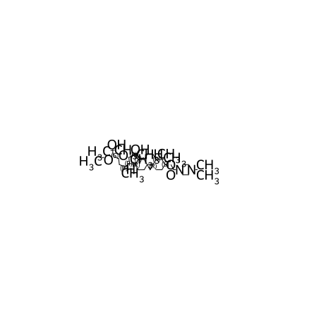 CCO[C@@H](C1C[C@@H](C)[C@H]2C(O1)[C@H](O)[C@@]1(C)C3CC[C@H]4C(C)(C)[C@@H](OC(=O)N5CCN(C(C)C)CC5)CC[C@@]45CC35CC[C@]21C)C(C)(C)O